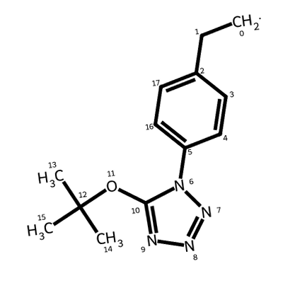 [CH2]Cc1ccc(-n2nnnc2OC(C)(C)C)cc1